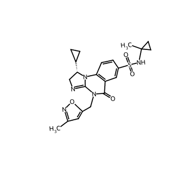 Cc1cc(CN2C(=O)c3cc(S(=O)(=O)NC4(C)CC4)ccc3N3C2=NC[C@@H]3C2CC2)on1